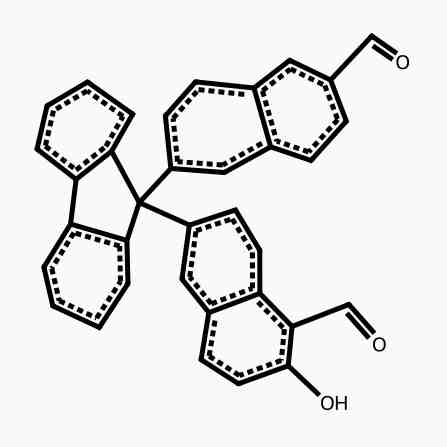 O=Cc1ccc2cc(C3(c4ccc5c(C=O)c(O)ccc5c4)c4ccccc4-c4ccccc43)ccc2c1